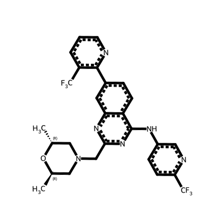 C[C@@H]1CN(Cc2nc(Nc3ccc(C(F)(F)F)nc3)c3ccc(-c4ncccc4C(F)(F)F)cc3n2)C[C@@H](C)O1